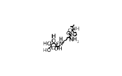 CC(C)NC(=O)C1CCCN1C(=O)C(N)CCCCNCC(F)(F)C1(O)CC(O)C(O)C(CO)O1